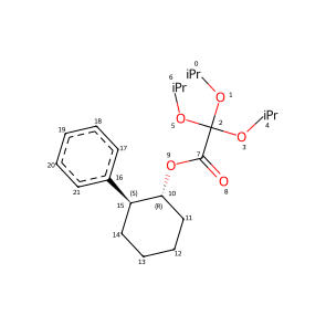 CC(C)OC(OC(C)C)(OC(C)C)C(=O)O[C@@H]1CCCC[C@H]1c1ccccc1